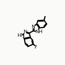 Cc1ccc2[nH]c(-c3n[nH]c4ccc(F)cc34)nc2c1